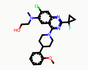 COc1ccccc1C1CCN(c2nc(C3(F)CC3)nc3cc(Cl)c(N(C)CCO)cc23)CC1